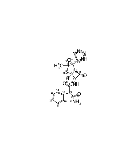 CC1(C)S[C@@H]2C(NC(=O)C(C(N)=O)c3ccccc3)C(=O)N2C1c1nnn[nH]1